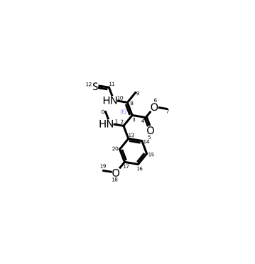 CNC(/C(C(=O)OC)=C(/C)NC=S)c1cccc(OC)c1